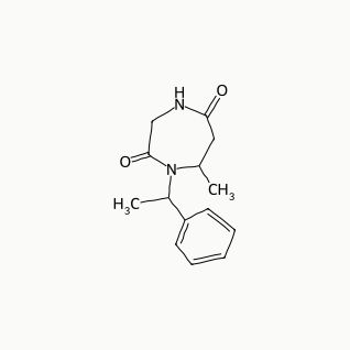 CC1CC(=O)NCC(=O)N1C(C)c1ccccc1